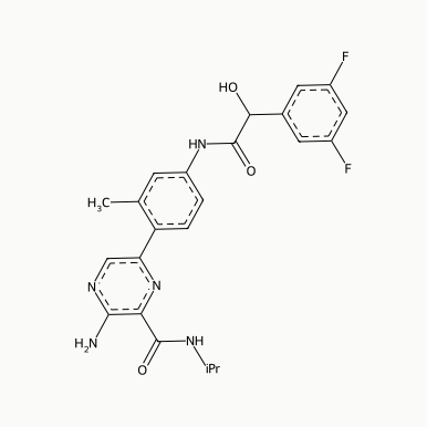 Cc1cc(NC(=O)C(O)c2cc(F)cc(F)c2)ccc1-c1cnc(N)c(C(=O)NC(C)C)n1